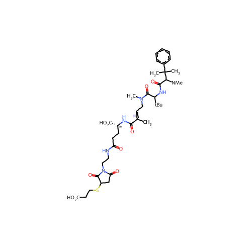 CNC(C(=O)NC(C(=O)N(C)C/C=C(\C)C(=O)N[C@H](CCC(=O)NCCN1C(=O)CC(SCCC(=O)O)C1=O)C(=O)O)C(C)(C)C)C(C)(C)c1ccccc1